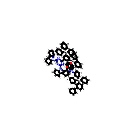 c1ccc(-c2cccc([Si](c3ccccc3)(c3ccccc3)c3cccc(-n4c5ccccc5c5c4ccc4c6ccccc6n(-c6nc(-c7cc([Si](c8ccccc8)(c8ccccc8)c8ccccc8)cc([Si](c8ccccc8)(c8ccccc8)c8ccccc8)c7)nc(-n7c8ccccc8c8ccccc87)n6)c45)c3)c2)cc1